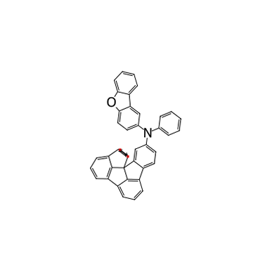 c1ccc(N(c2ccc3c(c2)C24c5ccccc5-c5cccc(c52)-c2cccc-3c24)c2ccc3oc4ccccc4c3c2)cc1